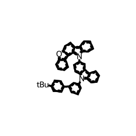 CC(C)(C)c1ccc(-c2cccc(-n3c4ccccc4c4cc(-n5c6ccccc6c6ccc7oc8ccccc8c7c65)ccc43)c2)cc1